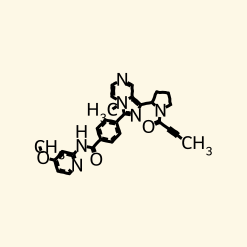 CC#CC(=O)N1CCCC1C1=C2C=NC=C[N+]2(C)C(c2ccc(C(=O)Nc3cc(OC)ccn3)cc2)=N1